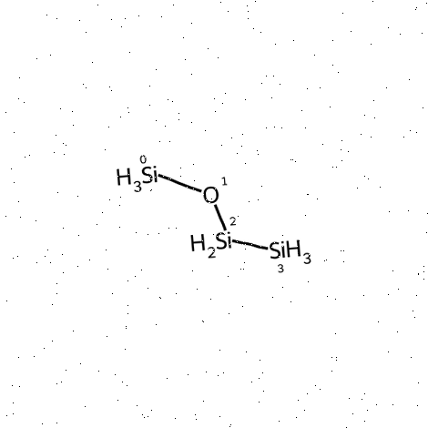 [SiH3]O[SiH2][SiH3]